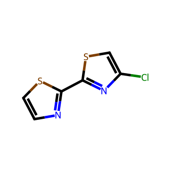 Clc1csc(-c2nccs2)n1